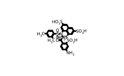 Cc1ccc(S(=O)(=O)N(NC(=O)c2ccc(N)cc2S(=O)(=O)O)c2cc(S(=O)(=O)O)cc3cc(S(=O)(=O)O)cc(S(=O)(=O)O)c23)c(C)c1